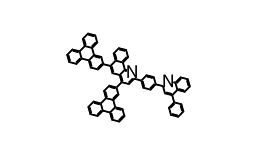 c1ccc(-c2cc(-c3ccc(-c4cc(-c5ccc6c7ccccc7c7ccccc7c6c5)c5cc(-c6ccc7c8ccccc8c8ccccc8c7c6)c6ccccc6c5n4)cc3)nc3ccccc23)cc1